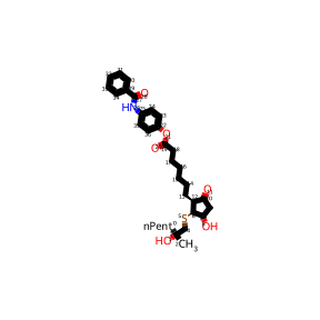 CCCCCC(C)(O)CS[C@H]1C(O)CC(=O)[C@@H]1CCCCCCC(=O)Oc1ccc(NC(=O)c2ccccc2)cc1